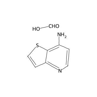 Nc1ccnc2ccsc12.O=CO